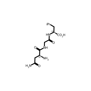 CC(C)C[C@H](NC(=O)CNC(=O)[C@@H](N)CC(N)=O)C(=O)O